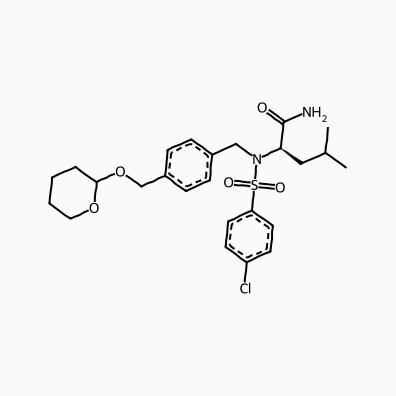 CC(C)C[C@H](C(N)=O)N(Cc1ccc(COC2CCCCO2)cc1)S(=O)(=O)c1ccc(Cl)cc1